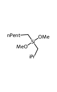 CCCCCC[Si](CC(C)C)(OC)OC